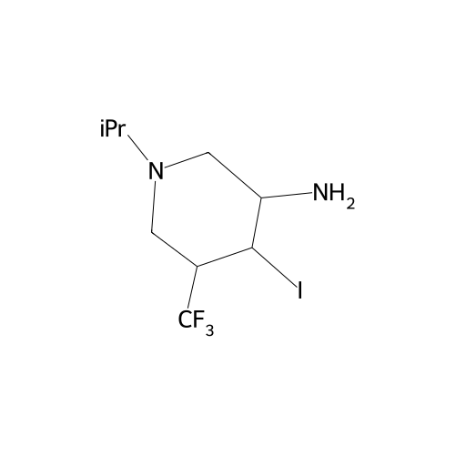 CC(C)N1CC(N)C(I)C(C(F)(F)F)C1